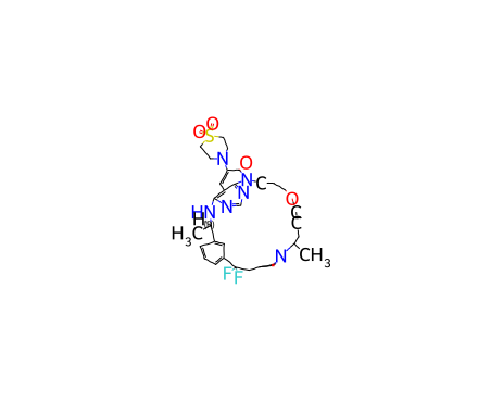 CC1CCCOCCCn2c(=O)c(N3CCS(=O)(=O)CC3)cc3c(ncnc32)N[C@H](C)c2cccc(c2)C(F)(F)CC2CN1C2